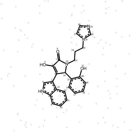 O=C1C(O)=C(c2c[nH]c3ccccc23)C(c2ccccc2O)N1CCCn1ccnc1